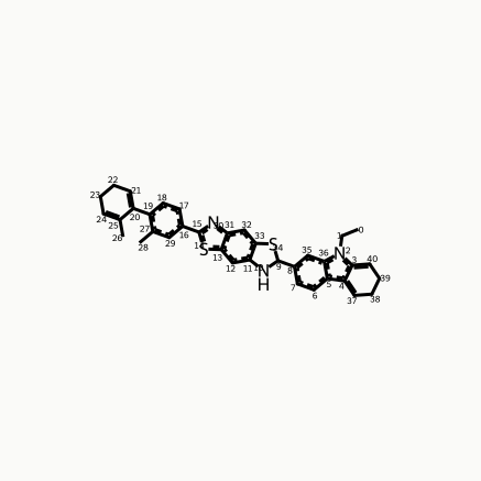 CCn1c2c(c3ccc(C4Nc5cc6sc(-c7ccc(C8=CCCC=C8C)c(C)c7)nc6cc5S4)cc31)=CCCC=2